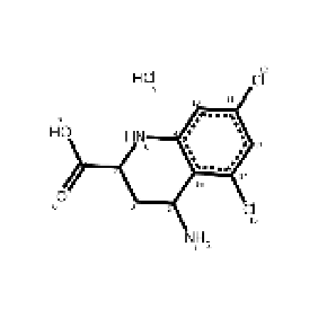 Cl.NC1CC(C(=O)O)Nc2cc(Cl)cc(Cl)c21